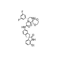 CCc1cccc2c1NC(=O)[C@@]21Cc2ccc(NC(=O)CN3C(=O)C4(COCCOC4)NC[C@H]3c3cc(F)cc(F)c3)cc2C1